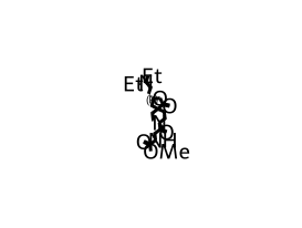 CCN(CC)CC[C@H]1CC2(CCN(C(=O)CNC(=O)OC)CC2)C(=O)O1